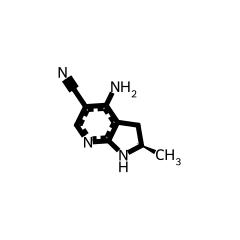 C[C@@H]1Cc2c(ncc(C#N)c2N)N1